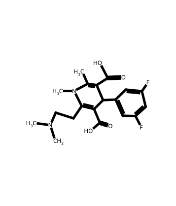 CC1=C(C(=O)O)C(c2cc(F)cc(F)c2)C(C(=O)O)=C(CCN(C)C)N1C